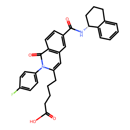 O=C(O)CCCCc1cc2cc(C(=O)N[C@@H]3CCCc4ccccc43)ccc2c(=O)n1-c1ccc(F)cc1